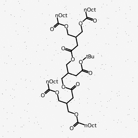 CCCCCCCCC(=O)OCC(COC(=O)CCCCCCCC)CC(=O)OCC(COC(=O)CC(COC(=O)CCCCCCCC)COC(=O)CCCCCCCC)CC(=O)OC(C)(C)C